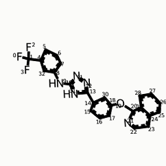 FC(F)(F)c1cccc(Nc2nnc(-c3cccc(Oc4nccc5ccccc45)c3)[nH]2)c1